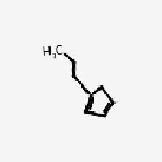 CCCC1=CC=[C]C1